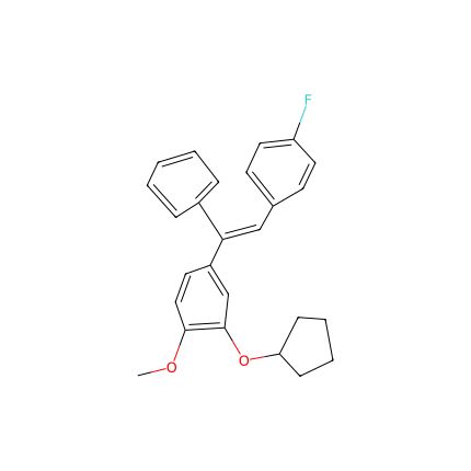 COc1ccc(/C(=C/c2ccc(F)cc2)c2ccccc2)cc1OC1CCCC1